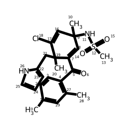 Cc1ccc(C(=O)C2=CC(C)(NS(C)(=O)=O)C=C(Cl)C2(C)Cc2ccc[nH]2)c(C)c1